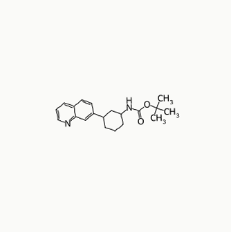 CC(C)(C)OC(=O)NC1CCCC(c2ccc3cccnc3c2)C1